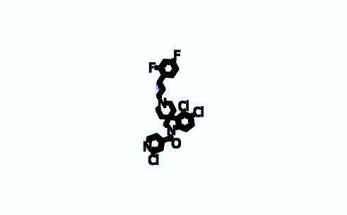 O=C(c1ccnc(Cl)c1)N1CC2(CCN(C/C=C/c3ccc(F)cc3F)CC2)c2c1ccc(Cl)c2Cl